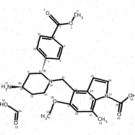 COC(=O)c1ccc([C@H]2C[C@H](N)CCN2Cc2c(OC)cc(C)c3c2ccn3C(=O)O)cc1.O=CO